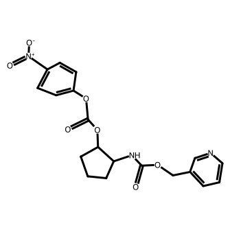 O=C(NC1CCCC1OC(=O)Oc1ccc([N+](=O)[O-])cc1)OCc1cccnc1